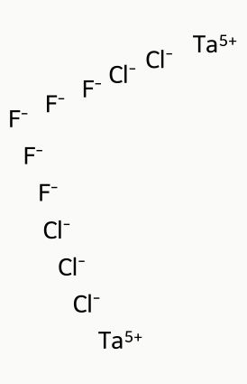 [Cl-].[Cl-].[Cl-].[Cl-].[Cl-].[F-].[F-].[F-].[F-].[F-].[Ta+5].[Ta+5]